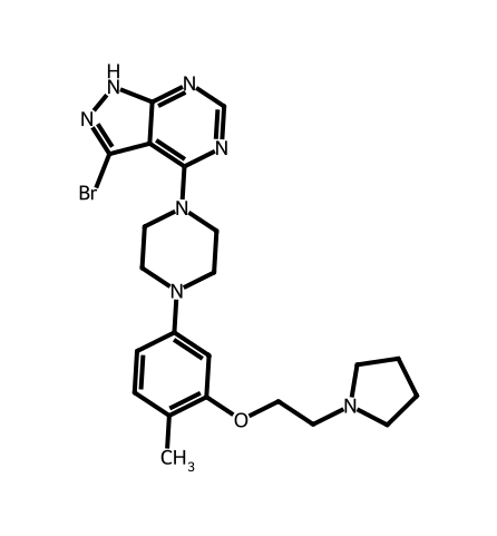 Cc1ccc(N2CCN(c3ncnc4[nH]nc(Br)c34)CC2)cc1OCCN1CCCC1